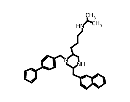 CC(C)NCCCCC1CNC(Cc2ccc3ccccc3c2)CN1Cc1ccc(-c2ccccc2)cc1